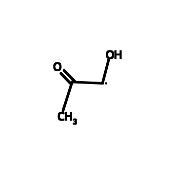 CC(=O)[CH]O